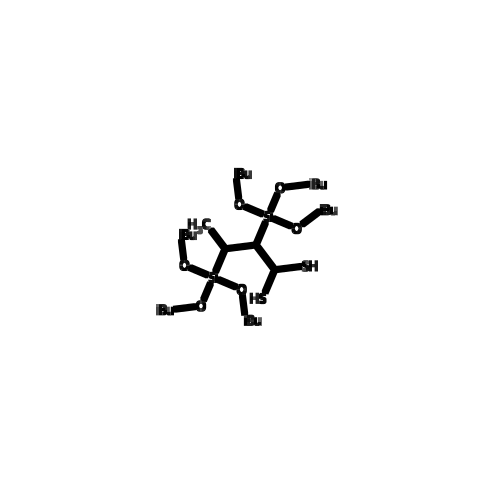 CCC(C)O[Si](OC(C)CC)(OC(C)CC)C(C)C(C(S)S)[Si](OC(C)CC)(OC(C)CC)OC(C)CC